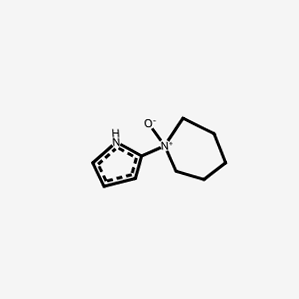 [O-][N+]1(c2ccc[nH]2)CCCCC1